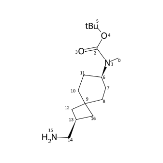 CN(C(=O)OC(C)(C)C)[C@H]1CCC2(CC1)C[C@H](CN)C2